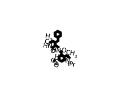 Cc1cc(Cc2ccccc2)c(CNC(=O)c2cc([SH](=O)=O)cc3c2c(C)cn3C(C)C)c(=O)[nH]1